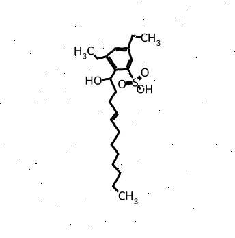 CCCCCCCC=CCCC(O)c1c(CC)cc(CC)cc1S(=O)(=O)O